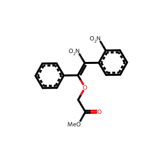 COC(=O)COC(=C(c1ccccc1[N+](=O)[O-])[N+](=O)[O-])c1ccccc1